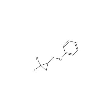 FC1(F)CC1COc1cc[c]cc1